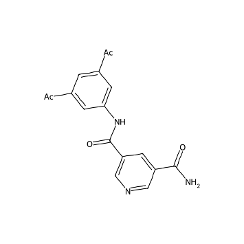 CC(=O)c1cc(NC(=O)c2cncc(C(N)=O)c2)cc(C(C)=O)c1